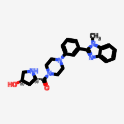 Cn1c(-c2cccc(N3CCN(C(=O)[C@@H]4C[C@@H](O)CN4)CC3)c2)nc2ccccc21